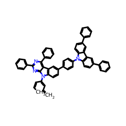 C=C/C=C(\C=C/C)n1c2ccc(-c3ccc(-n4c5ccc(-c6ccccc6)cc5c5cc(-c6ccccc6)ccc54)cc3)cc2c2c(-c3ccccc3)nc(-c3ccccc3)nc21